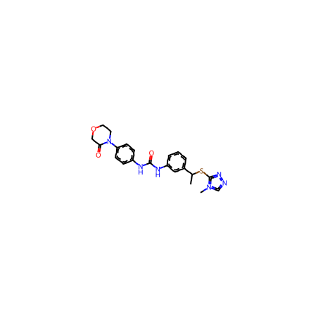 CC(Sc1nncn1C)c1cccc(NC(=O)Nc2ccc(N3CCOCC3=O)cc2)c1